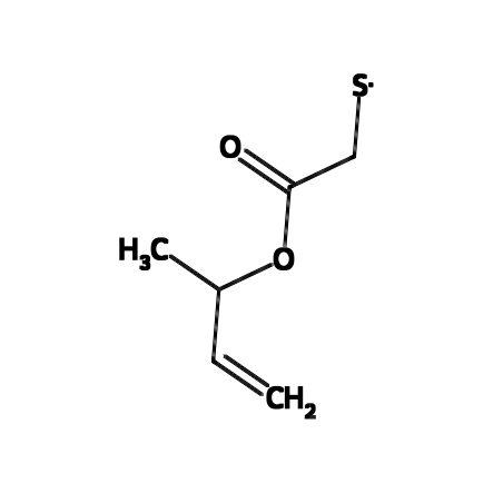 C=CC(C)OC(=O)C[S]